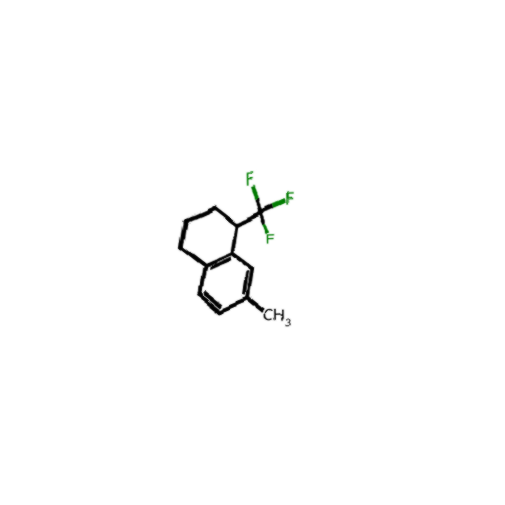 Cc1ccc2c(c1)C(C(F)(F)F)CCC2